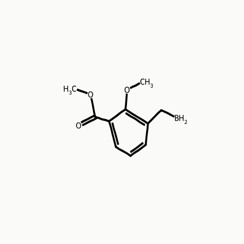 BCc1cccc(C(=O)OC)c1OC